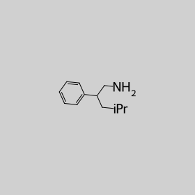 CC(C)CC(CN)c1ccccc1